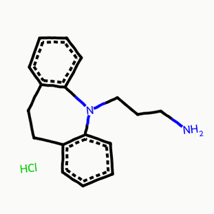 Cl.NCCCN1c2ccccc2CCc2ccccc21